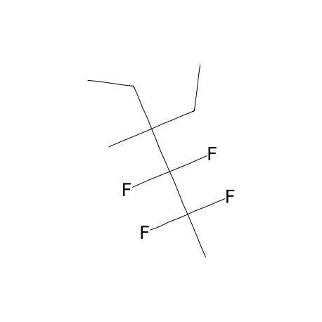 CCC(C)(CC)C(F)(F)C(C)(F)F